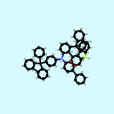 c1ccc(-c2ccc(N(c3ccc(C4(c5ccccc5)c5ccccc5-c5ccccc54)cc3)c3cccc(-c4cccc5ccccc45)c3-c3cccc4sc5ccccc5c34)cc2)cc1